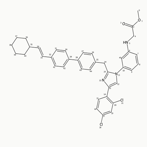 COC(=O)CNc1cccc(-n2cc(-c3ccc(Cl)cc3Cl)nc2Cc2ccc(-c3ccc(C=CC4CCCCC4)cc3)cc2)c1